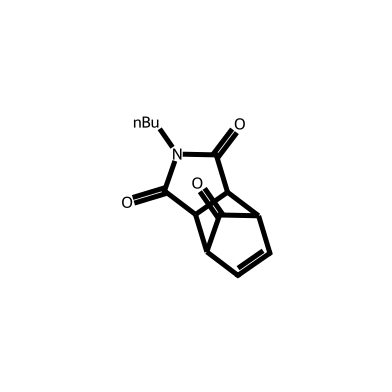 CCCCN1C(=O)C2C3C=CC(C3=O)C2C1=O